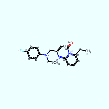 C/C=C(CN(CC)c1ccc(F)cc1)\N=c1\cccc(CC)n1C=O